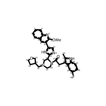 COc1nc2ccccc2cc1-c1cnc(C2CN(CC3CCOC3)CCN2C(=O)Cc2c(C)[nH]c3ccc(F)cc23)[nH]1